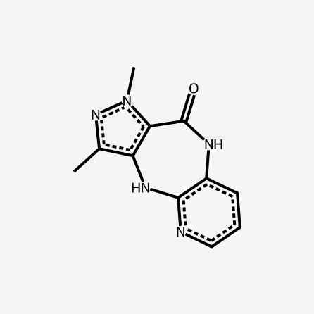 Cc1nn(C)c2c1Nc1ncccc1NC2=O